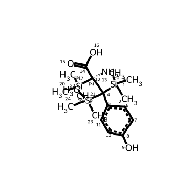 C[Si](C)(C)C(c1ccc(O)cc1)([C@](N)(C(=O)O)[Si](C)(C)C)[Si](C)(C)C